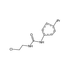 CC(C)c1ccc(NC(=O)NCCCl)cc1